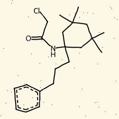 CC1(C)CC(C)(C)CC(CCCc2ccccc2)(NC(=O)CCl)C1